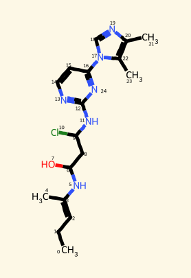 CC/C=C(\C)NC(O)CC(Cl)Nc1nccc(-n2cnc(C)c2C)n1